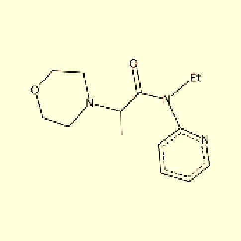 CCN(C(=O)C(C)N1CCOCC1)c1ccccn1